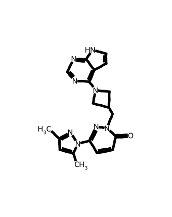 Cc1cc(C)n(-c2ccc(=O)n(CC3CN(c4ncnc5[nH]ccc45)C3)n2)n1